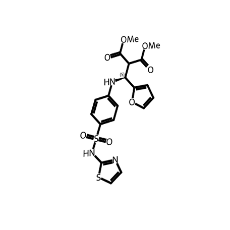 COC(=O)C(C(=O)OC)[C@H](Nc1ccc(S(=O)(=O)Nc2nccs2)cc1)c1ccco1